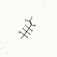 FC(F)=C(F)C(F)(F)C(F)(F)C(F)(F)Br